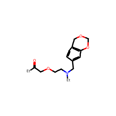 CCC(=O)COCCN(CC)Cc1ccc2c(c1)OCOC2